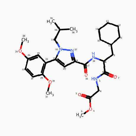 COC(=O)CNC(=O)C(CC1CCCCC1)NC(=O)c1cc(-c2cc(OC)ccc2OC)n(CC(C)C)n1